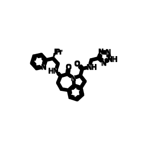 CC(C)[C@H](CNC1CCc2cccc3c2N(C1=O)C(C(=O)NCc1nn[nH]n1)C3)c1ccccn1